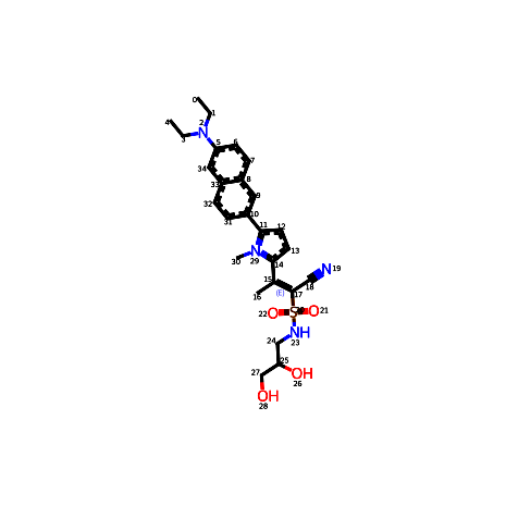 CCN(CC)c1ccc2cc(-c3ccc(/C(C)=C(\C#N)S(=O)(=O)NCC(O)CO)n3C)ccc2c1